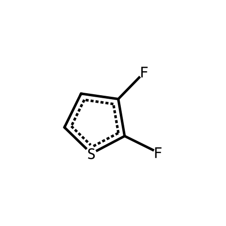 Fc1ccsc1F